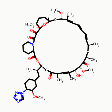 CO[C@H]1C[C@@H]2CC[C@@H](C)[C@@](O)(O2)C(=O)C(=O)N2CCCCC2C(=O)O[C@H]([C@H](C)CC2CC[C@H](n3cnnn3)[C@H](OC)C2)CC(=O)[C@H](C)/C=C(\C)[C@@H](O)[C@@H](OC)C(=O)[C@H](C)C[C@H](C)/C=C/C=C/C=C/1C